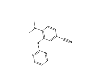 CN(C)c1ccc(C#N)cc1Oc1ncccn1